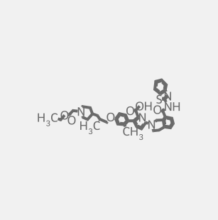 CCOC(=O)CN1CCC(C[C@@H](C)COc2ccc(-c3ccc(N4CCc5cccc(C(=O)Nc6nc7ccccc7s6)c5C4)nc3C(=O)O)c(C)c2)CC1